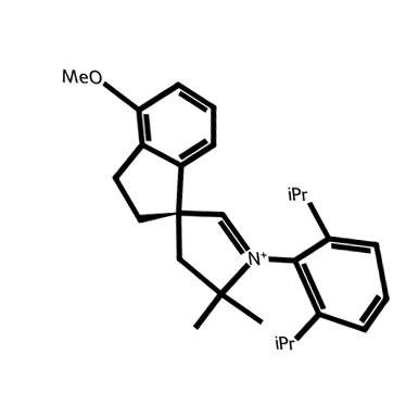 COc1cccc2c1CC[C@]21C=[N+](c2c(C(C)C)cccc2C(C)C)C(C)(C)C1